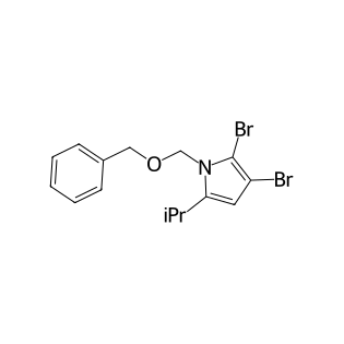 CC(C)c1cc(Br)c(Br)n1COCc1ccccc1